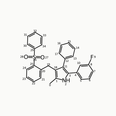 Cc1[nH]c(-c2cccc(F)c2)c(-c2ccccc2)c1Cc1ccccc1S(=O)(=O)c1ccccc1